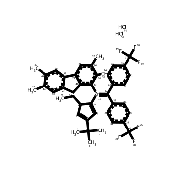 CCC1C=C(C(C)(C)C)C=[C]1[Zr](=[C](c1ccc(C(F)(F)F)cc1)c1ccc(C(F)(F)F)cc1)[c]1c(C)c(C)cc2c1Cc1cc(C)c(C)cc1-2.Cl.Cl